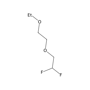 CCOCCOCC(F)F